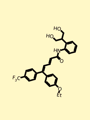 CCOc1ccc(/C(=C\C=C\C(=O)Nc2ccccc2C(CO)CO)c2ccc(C(F)(F)F)cc2)cc1